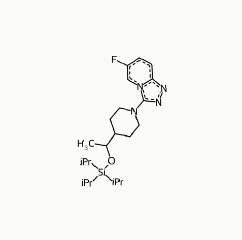 CC(O[Si](C(C)C)(C(C)C)C(C)C)C1CCN(c2nnc3ccc(F)cn23)CC1